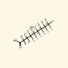 O=C(O)C(F)(F)C(F)(F)C(F)(F)C(F)(F)C(F)(F)C(F)(F)C(F)(F)C(F)(F)F.[KH]